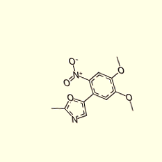 COc1cc(-c2cnc(C)o2)c([N+](=O)[O-])cc1OC